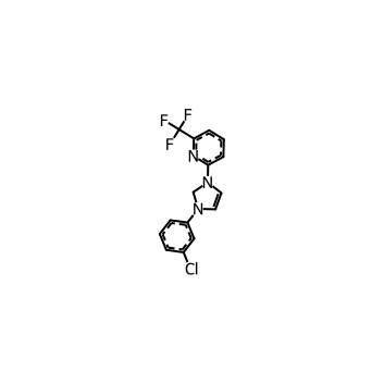 FC(F)(F)c1cccc(N2C=CN(c3cccc(Cl)c3)C2)n1